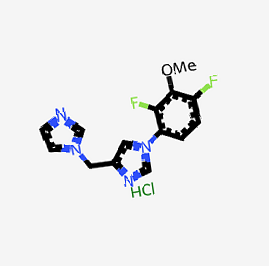 COc1c(F)ccc(-n2cnc(Cn3ccnc3)c2)c1F.Cl